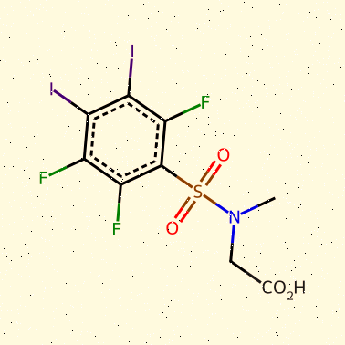 CN(CC(=O)O)S(=O)(=O)c1c(F)c(F)c(I)c(I)c1F